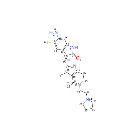 Cc1c(/C=C2\C(=O)Nc3cc(N)c(F)cc32)[nH]c2c1C(=O)N(CCN1CCCC1)CC2